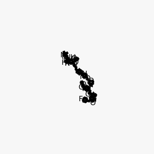 Cc1n[nH]c(Nc2ncnc3cc(OCCCN4CCN(c5ncc(OC[C@H]6CN(C[C@H]7CN(C(=O)OC(C)(C)C)[C@H](C)CN7CC(=O)N7CC(C)(C)c8c7cc(Cc7ccc(F)cc7)c(=O)n8C)CCO6)cn5)CC4)c(S(=O)(=O)C(C)(C)C)cc23)c1C